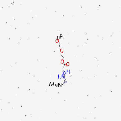 CCCOCCOCCOC(=O)CNN/C=C\NC